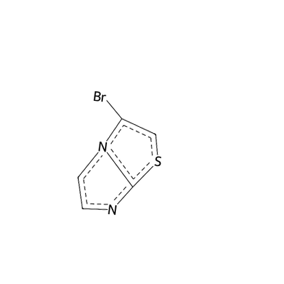 Brc1csc2nccn12